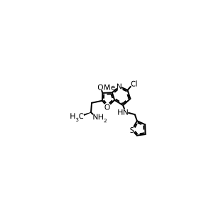 COc1c(C[C@H](C)N)oc2c(NCc3cccs3)cc(Cl)nc12